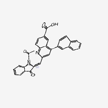 CC(=O)N1/C(=C\c2cc(-c3ccc4ccccc4c3)c3cc(C(=O)O)ccc3n2)C(=O)c2ccccc21